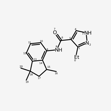 CCc1n[nH]cc1C(=O)Nc1cccc2c1C(C)CC2(C)C